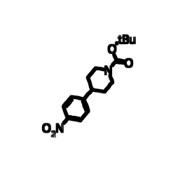 CC(C)(C)OC(=O)N1CCC(c2ccc([N+](=O)[O-])cc2)CC1